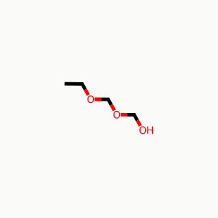 CCOCOCO